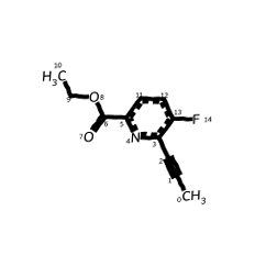 CC#Cc1nc(C(=O)OCC)ccc1F